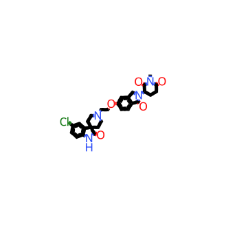 CN1C(=O)CCC(N2Cc3cc(OCCN4CCC5(CC4)C(=O)Nc4ccc(Cl)cc45)ccc3C2=O)C1=O